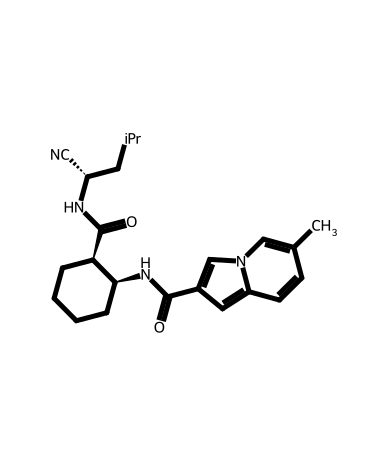 Cc1ccc2cc(C(=O)N[C@H]3CCCC[C@H]3C(=O)N[C@H](C#N)CC(C)C)cn2c1